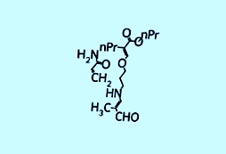 C=CC(N)=O.CCCOC(=O)C(=COCCCNC=C(C)C=O)CCC